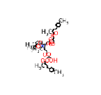 Cc1ccc(CCC(C)C(=O)OCC(CO)OC(=O)CCC[N+](C)(CCCC(=O)OC(CO)COC(=O)C(C)CCc2ccc(C)cc2)C(=O)OC(C)(C)C)cc1